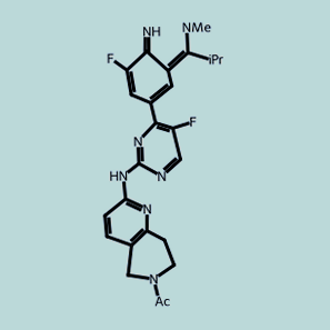 CN/C(=C1/C=C(c2nc(Nc3ccc4c(n3)CCN(C(C)=O)C4)ncc2F)C=C(F)C1=N)C(C)C